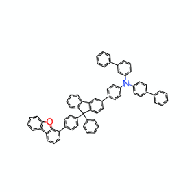 c1ccc(-c2ccc(N(c3ccc(-c4ccc5c(c4)-c4ccccc4C5(c4ccccc4)c4ccc(-c5cccc6c5oc5ccccc56)cc4)cc3)c3cccc(-c4ccccc4)c3)cc2)cc1